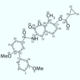 COc1cccc(-c2cc(C(=O)Nc3cc4ccc(OC(=O)C5CC5)c(C)c4oc3=O)ccc2OC)c1